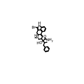 CC(Cc1ccccc1)C(O)(C(N)=O)C1C=C2c3cccc4[nH]c(Br)c(c34)C[C@@H]2N(C)C1